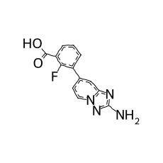 Nc1nc2cc(-c3cccc(C(=O)O)c3F)ccn2n1